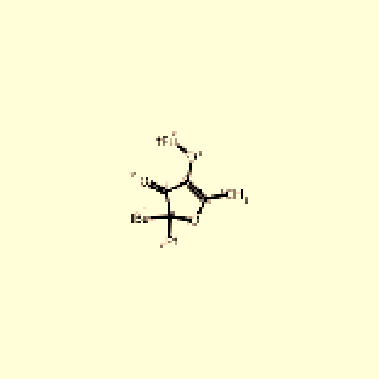 CCC1(C(C)(C)C)OC(C)=C(OC(C)(C)C)C1=O